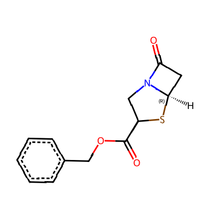 O=C(OCc1ccccc1)C1CN2C(=O)C[C@H]2S1